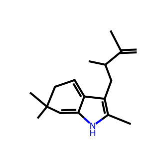 C=C(C)C(C)Cc1c(C)[nH]c2c1=CCC(C)(C)C=2